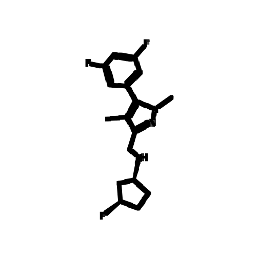 Cc1c(CN[C@H]2CC[C@@H](F)C2)nn(C)c1-c1cc(F)cc(F)c1